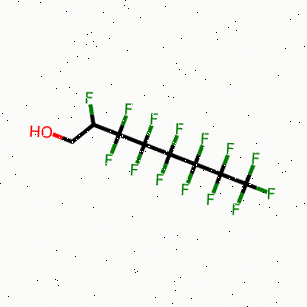 OCC(F)C(F)(F)C(F)(F)C(F)(F)C(F)(F)C(F)(F)C(F)(F)F